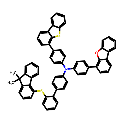 CC1(C)c2ccccc2-c2c(Sc3ccccc3-c3ccc(N(c4ccc(-c5cccc6c5oc5ccccc56)cc4)c4ccc(-c5cccc6c5sc5ccccc56)cc4)cc3)cccc21